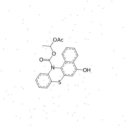 CC(=O)OC(C)OC(=O)N1c2ccccc2Sc2cc(O)c3ccccc3c21